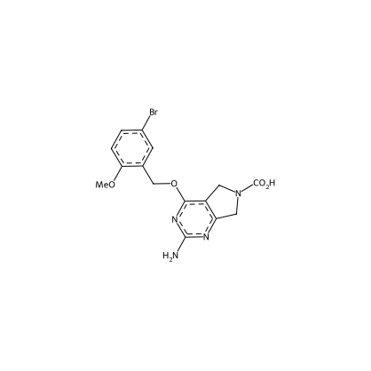 COc1ccc(Br)cc1COc1nc(N)nc2c1CN(C(=O)O)C2